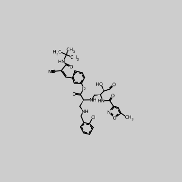 Cc1cc(C(=O)N[C@@H](CN[C@@H](CNCc2ccccc2Cl)C(=O)Oc2cccc(C=C(C#N)C(=O)NC(C)(C)C)c2)[C@@H](O)C=O)no1